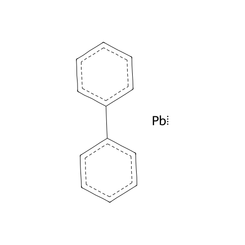 [Pb].c1ccc(-c2ccccc2)cc1